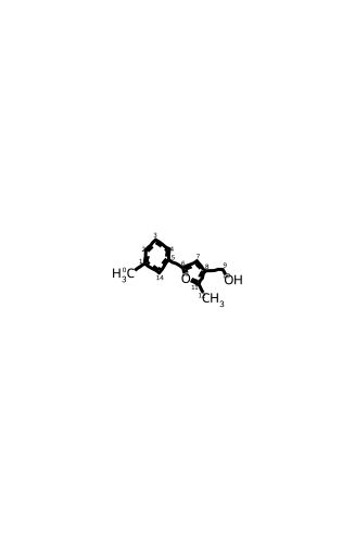 Cc1cccc(-c2cc(CO)c(C)o2)c1